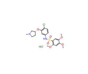 COc1cc(OC)c(S(=O)(=O)Nc2ccc(Cl)c(O[C@@H]3CCN(C)C3)c2)cc1OC.Cl